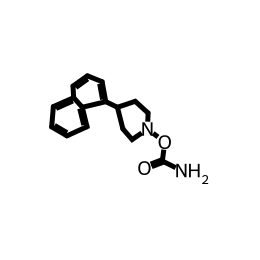 NC(=O)ON1CCC(c2cccc3ccccc23)CC1